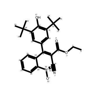 CCOC(=O)C(C#N)=C(c1cc(C(C)(C)C)c(O)c(C(C)(C)C)c1)c1ccccc1[N+](=O)[O-]